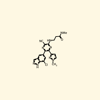 CNC(=O)CCNc1nc(-c2ccn(C)n2)c(-c2cc(Cl)c3[nH]ncc3c2)nc1C#N